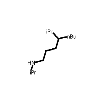 CCCCC(CCCNC(C)C)C(C)C